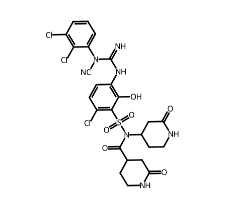 N#CN(C(=N)Nc1ccc(Cl)c(S(=O)(=O)N(C(=O)C2CCNC(=O)C2)C2CCNC(=O)C2)c1O)c1cccc(Cl)c1Cl